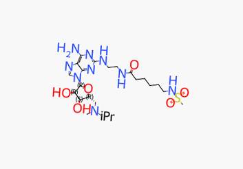 CC(C)N(C)C[C@H]1O[C@@H](n2cnc3c(N)nc(NCCNC(=O)CCCCCNS(C)(=O)=O)nc32)[C@H](O)[C@@H]1O